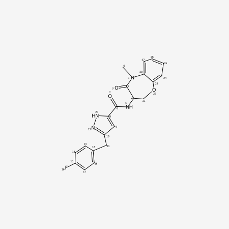 CN1C(=O)C(NC(=O)c2cc(Cc3ccc(F)cc3)n[nH]2)COc2ccccc21